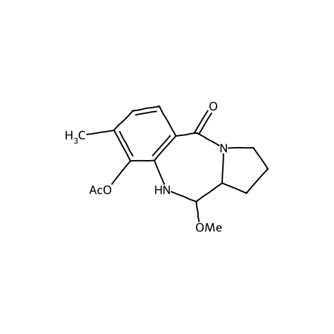 COC1Nc2c(ccc(C)c2OC(C)=O)C(=O)N2CCCC12